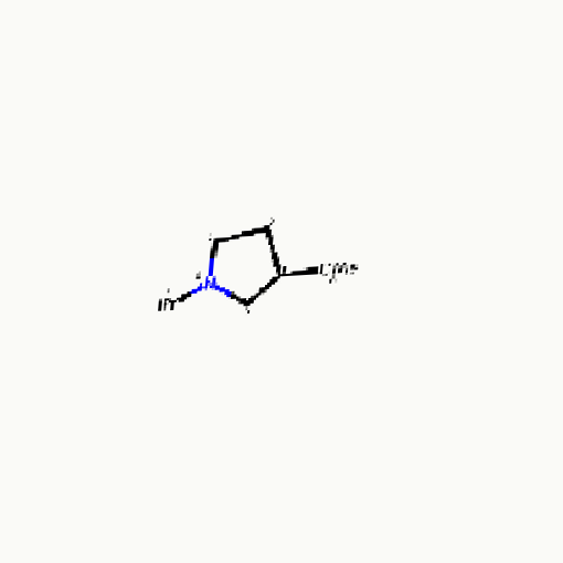 CO[C@@H]1CCN(C(C)C)C1